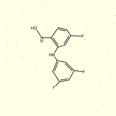 ONc1ccc(F)cc1Nc1cc(F)cc(F)c1